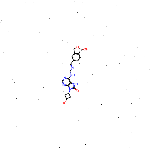 O=c1[nH]c2c(NC/N=C/c3ccc4c(c3)COB4O)ncnc2n1C1CC(O)C1